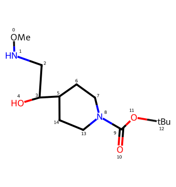 CONCC(O)C1CCN(C(=O)OC(C)(C)C)CC1